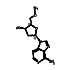 Nc1ncnc2c1ncn2[C@H]1CC(O)[C@@H](COS)O1